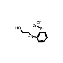 C[CH2][Zn+].OCCNc1ccccc1.[Cl-]